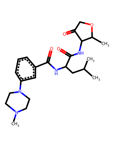 CC(C)CC(NC(=O)c1cccc(N2CCN(C)CC2)c1)C(=O)NC1C(=O)COC1C